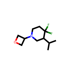 CC(C)C1CN(C2COC2)CCC1(F)F